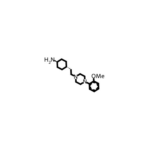 COc1ccccc1N1CCN(CC[C@H]2CC[C@H](N)CC2)CC1